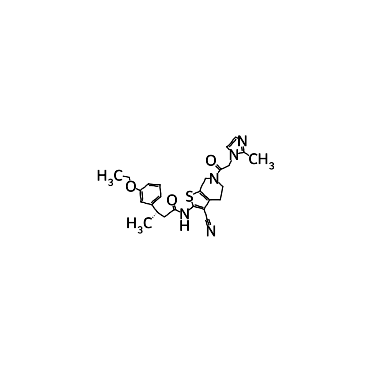 CCOc1cccc([C@@H](C)CC(=O)Nc2sc3c(c2C#N)CCN(C(=O)Cn2ccnc2C)C3)c1